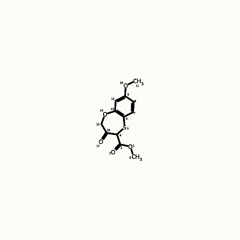 COC(=O)C1Sc2ccc(OC)cc2OCC1=O